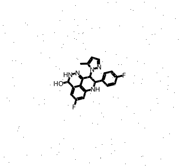 Cc1ccnn1C1C2=NNC(O)c3cc(F)cc(c32)NC1c1ccc(F)cc1